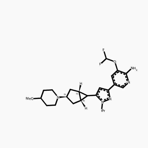 COC1CCN([C@H]2C[C@@H]3C(c4cc(-c5cnc(N)c(OC(F)F)c5)nn4C(C)C)[C@@H]3C2)CC1